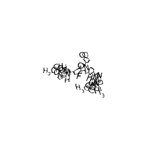 CC(C)(C)OC(=O)N1CCC[C@H]1c1ncc(-c2cc(F)c3c(c2)OC(c2ccc4c(c2)OCCC4)n2c-3cc3cc(-c4cnc([C@@H]5CCCN5C(=O)OC(C)(C)C)[nH]4)ccc32)[nH]1